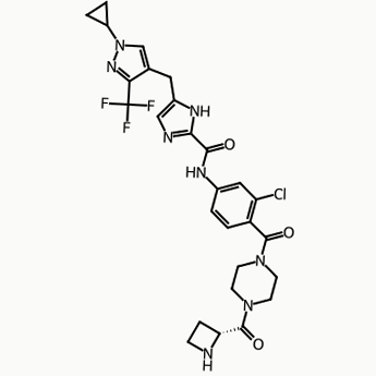 O=C(Nc1ccc(C(=O)N2CCN(C(=O)[C@H]3CCN3)CC2)c(Cl)c1)c1ncc(Cc2cn(C3CC3)nc2C(F)(F)F)[nH]1